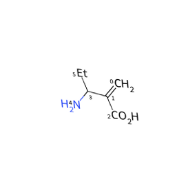 C=C(C(=O)O)C(N)CC